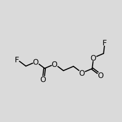 O=C(OCF)OCCOC(=O)OCF